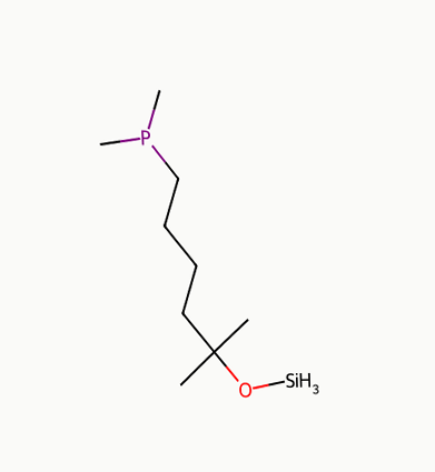 CP(C)CCCCC(C)(C)O[SiH3]